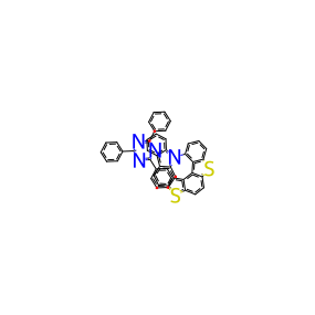 c1ccc(-c2nc(-c3ccccc3)nc(-c3ccc4sc5ccc6sc7cccc(-n8c9ccccc9c9ccccc98)c7c6c5c4c3)n2)cc1